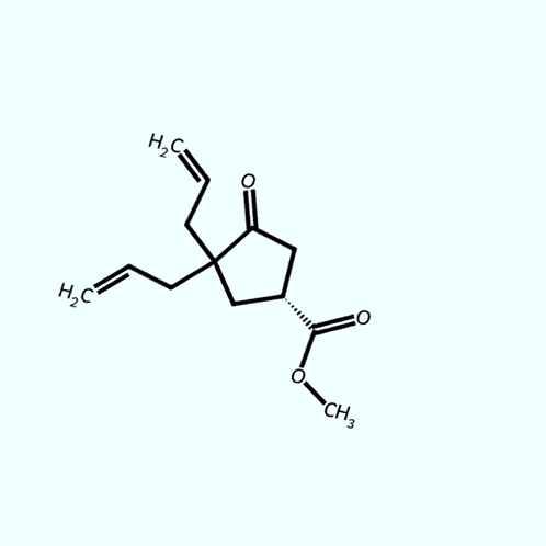 C=CCC1(CC=C)C[C@@H](C(=O)OC)CC1=O